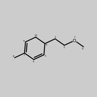 COCCC1C=CC(C)=CC1